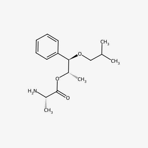 CC(C)CO[C@H](c1ccccc1)[C@H](C)OC(=O)[C@H](C)N